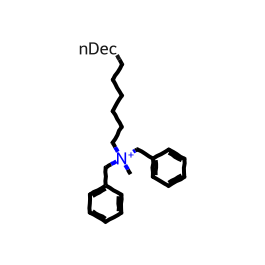 CCCCCCCCCCCCCCCC[N+](C)(Cc1ccccc1)Cc1ccccc1